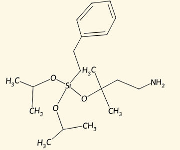 CC(C)O[Si](CCc1ccccc1)(OC(C)C)OC(C)(C)CCN